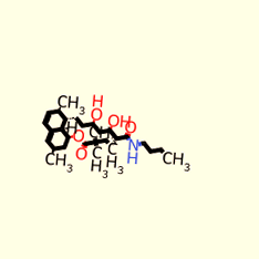 CCCCNC(=O)C[C@H](O)C[C@H](O)CC[C@@H]1[C@@H]2C(=C[C@H](C)C[C@@H]2OC(=O)C(C)(C)CC)C=C[C@@H]1C